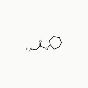 NCC(=O)OC1CCCCCC1